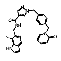 O=C(NCc1ncc2cc[nH]c2c1F)c1cnn(Cc2ccc(Cn3ccccc3=O)cc2)c1